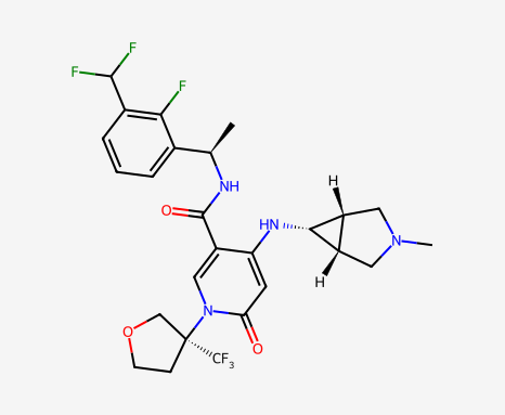 C[C@@H](NC(=O)c1cn([C@@]2(C(F)(F)F)CCOC2)c(=O)cc1N[C@@H]1[C@@H]2CN(C)C[C@@H]21)c1cccc(C(F)F)c1F